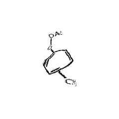 CC(=O)OOc1ccc(C)cc1